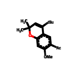 COc1cc2c(cc1C(C)=O)C(C(C)(C)C)=CC(C)(C)O2